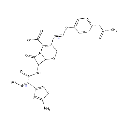 NC(=O)C[n+]1ccc(S/C=C/C2=C(C(=O)[O-])N3C(=O)C(NC(=O)/C(=N\O)c4csc(N)n4)C3SC2)cc1